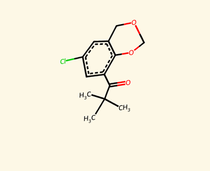 CC(C)(C)C(=O)c1cc(Cl)cc2c1OCOC2